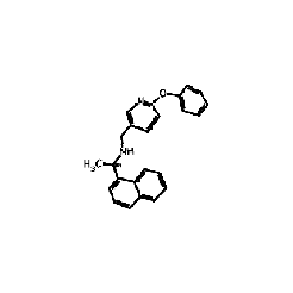 C[C@@H](NCc1ccc(Oc2ccccc2)nc1)c1cccc2ccccc12